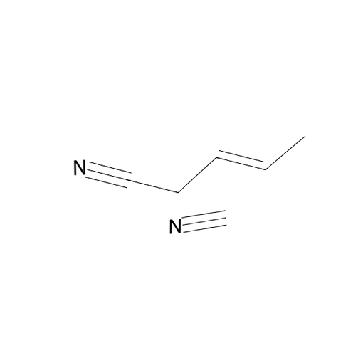 C#N.CC=CCC#N